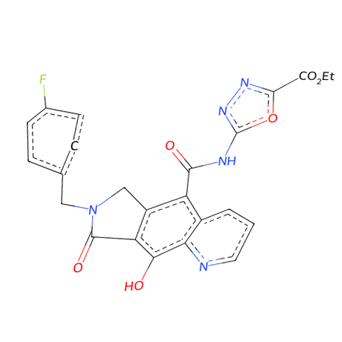 CCOC(=O)c1nnc(NC(=O)c2c3c(c(O)c4ncccc24)C(=O)N(Cc2ccc(F)cc2)C3)o1